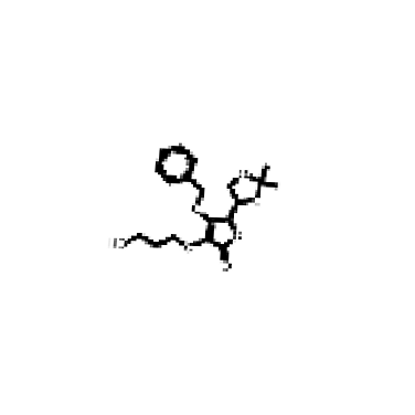 CC1(C)OCC(C2OC(=O)C(OCCCO)=C2OCc2ccccc2)O1